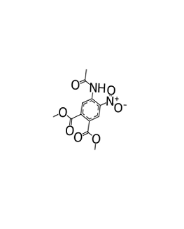 COC(=O)c1cc(NC(C)=O)c([N+](=O)[O-])cc1C(=O)OC